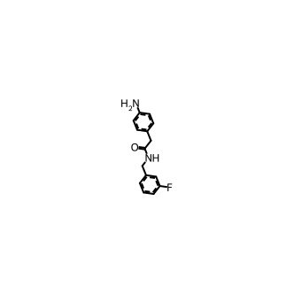 Nc1ccc(CC(=O)NCc2cccc(F)c2)cc1